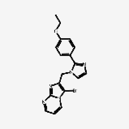 CCOc1ccc(-c2nccn2Cc2nc3ncccn3c2Br)cc1